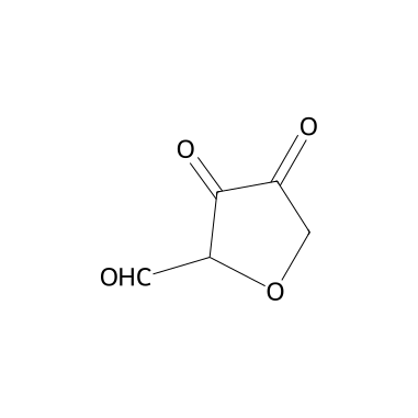 O=CC1OCC(=O)C1=O